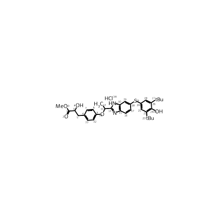 COC(=O)C(O)Cc1ccc(OC(C)c2nc3ccc(Sc4cc(C(C)(C)C)c(O)c(C(C)(C)C)c4)cc3[nH]2)cc1.Cl